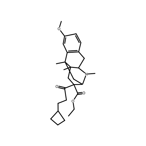 CCOC(=O)C1(C(=O)CCC2CCC2)CC2(C)C3Cc4ccc(OC)cc4C2(C)CC1N3C